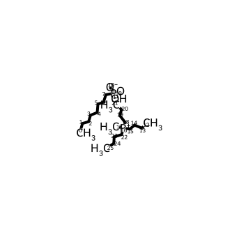 CCCCCCCCP(=O)([O-])O.CCCC[P+](C)(CCCC)CCCC